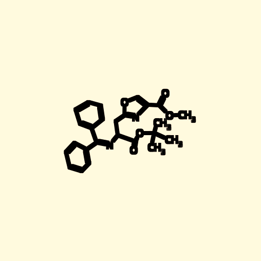 COC(=O)c1coc(CC(N=C(c2ccccc2)c2ccccc2)C(=O)OC(C)(C)C)n1